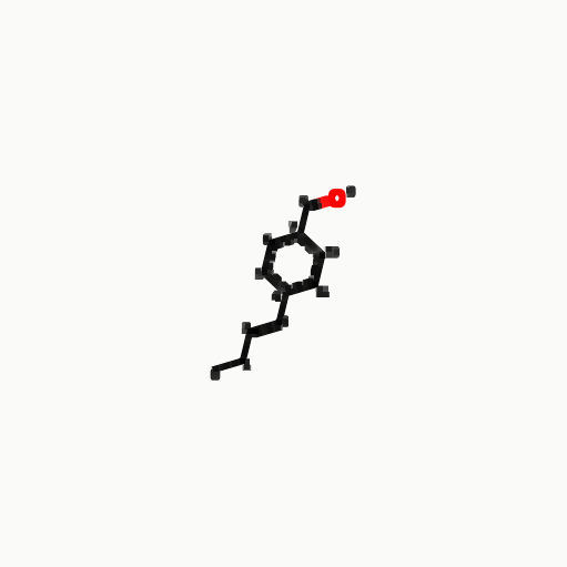 CC/[C]=C/c1ccc(C=O)cc1